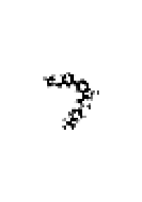 O=C(Nc1cnc(C(F)(F)F)nc1)c1n[nH]c2ccc(-c3cncc(CN4CCC4)c3)cc12